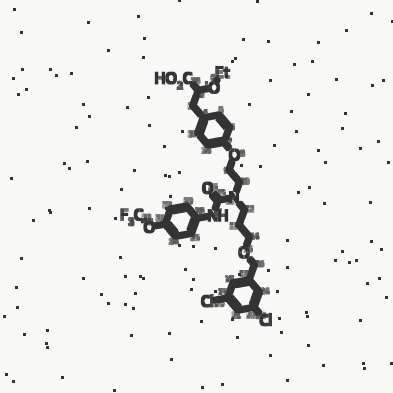 CCOC(Cc1ccc(OCCN(CCCOCc2cc(Cl)cc(Cl)c2)C(=O)Nc2ccc(OC(F)(F)F)cc2)cc1)C(=O)O